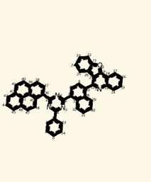 c1ccc(-c2nc(-c3ccc(-c4nc5ccccc5c5oc6ccccc6c45)c4ccccc34)nc(-c3ccc4ccc5cccc6ccc3c4c56)n2)cc1